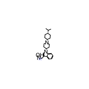 CC(C)[C@H]1CC[C@@H](N2CCC(n3cc(/C=N\O)c4ccccc43)CC2)CC1